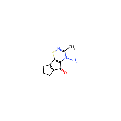 Cc1nsc2c3c(c(=O)c=2n1N)CCC3